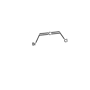 ClC=C=CBr